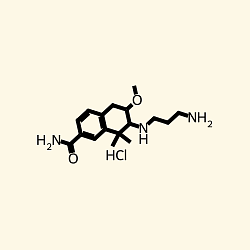 COC1Cc2ccc(C(N)=O)cc2C(C)(C)C1NCCCN.Cl